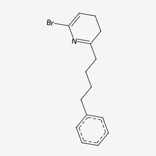 BrC1=CCCC(CCCCc2ccccc2)=N1